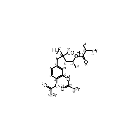 CCCC(=O)Oc1ccc(CC(N)(C[C@H](C)OC(=O)C(C)C(C)C)C(=O)O)cc1OC(=O)CCC